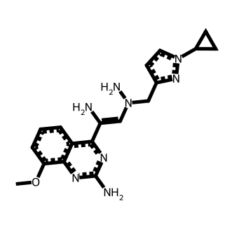 COc1cccc2c(/C(N)=C/N(N)Cc3ccn(C4CC4)n3)nc(N)nc12